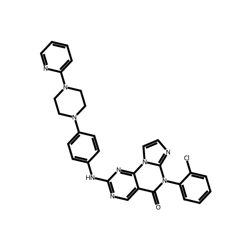 O=c1c2cnc(Nc3ccc(N4CCN(c5ccccn5)CC4)cc3)nc2n2ccnc2n1-c1ccccc1Cl